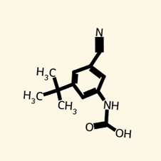 CC(C)(C)c1cc(C#N)cc(NC(=O)O)c1